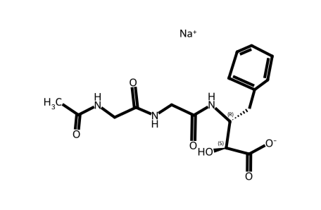 CC(=O)NCC(=O)NCC(=O)N[C@H](Cc1ccccc1)[C@H](O)C(=O)[O-].[Na+]